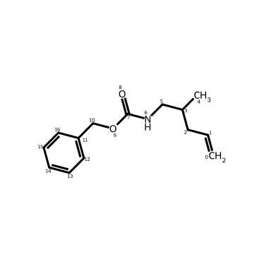 C=CCC(C)CNC(=O)OCc1ccccc1